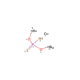 CCCCOP(=S)(S)OCCCC.[Cu]